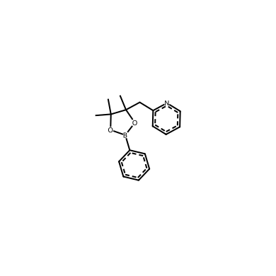 CC1(C)OB(c2ccccc2)OC1(C)Cc1ccccn1